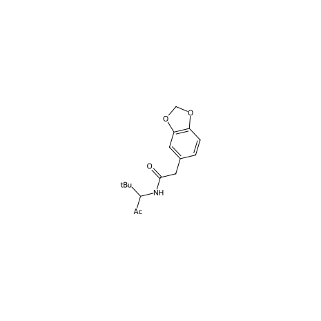 CC(=O)C(NC(=O)Cc1ccc2c(c1)OCO2)C(C)(C)C